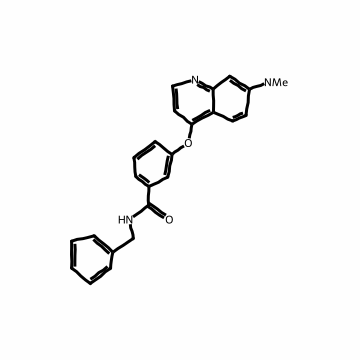 CNc1ccc2c(Oc3cccc(C(=O)NCc4ccccc4)c3)ccnc2c1